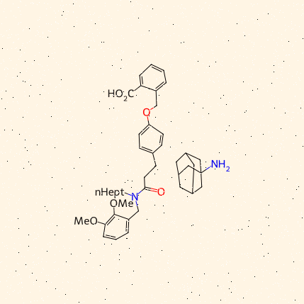 CCCCCCCN(Cc1cccc(OC)c1OC)C(=O)CCc1ccc(OCc2ccccc2C(=O)O)cc1.NC12CC3CC(CC(C3)C1)C2